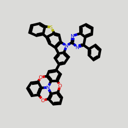 c1ccc(-c2nc(-n3c4ccc(-c5cc6c7c(c5)Oc5cccc8c5N7c5c(cccc5O6)O8)cc4c4cc5c(cc43)sc3ccccc35)nc3ccccc23)cc1